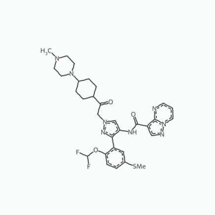 CSc1ccc(OC(F)F)c(-c2nn(CC(=O)C3CCC(N4CCN(C)CC4)CC3)cc2NC(=O)c2cnn3cccnc23)c1